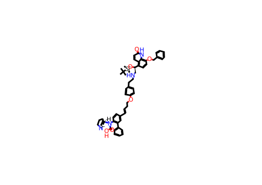 CC(C)(C)[Si](C)(C)O[C@H](CNCCc1ccc(OCC/C=C/c2ccc(N(C(=O)O)[C@H]3CN4CCC3CC4)c(-c3ccccc3)c2)cc1)c1ccc(OCc2ccccc2)c2[nH]c(=O)ccc12